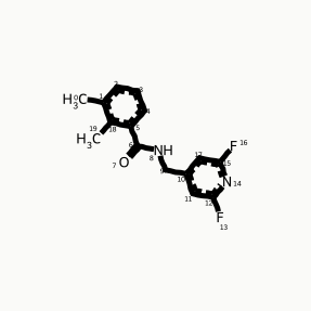 Cc1cccc(C(=O)NCc2cc(F)nc(F)c2)c1C